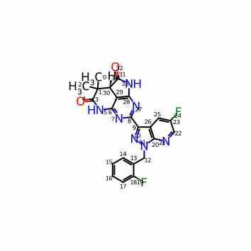 CC1(C)C(=O)Nc2nc(-c3nn(Cc4ccccc4F)c4ncc(F)cc34)nc3c2[C@H]1C(=O)N3